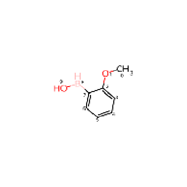 COc1ccccc1BO